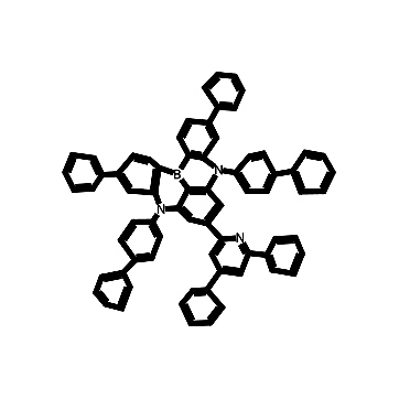 c1ccc(-c2ccc(N3c4cc(-c5ccccc5)ccc4B4c5ccc(-c6ccccc6)cc5N(c5ccc(-c6ccccc6)cc5)c5cc(-c6cc(-c7ccccc7)cc(-c7ccccc7)n6)cc3c54)cc2)cc1